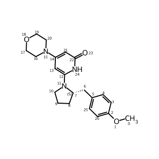 COc1ccc(C[C@@H]2CCCN2c2cc(N3CCOCC3)cc(=O)[nH]2)cc1